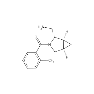 NC[C@@H]1[C@H]2C[C@H]2CN1C(=O)c1ccccc1C(F)(F)F